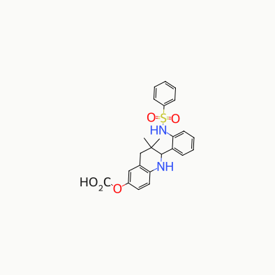 CC1(C)Cc2cc(OC(=O)O)ccc2NC1c1ccccc1NS(=O)(=O)c1ccccc1